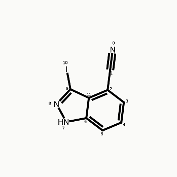 N#Cc1cccc2[nH]nc(I)c12